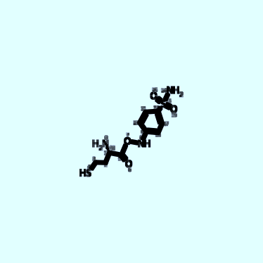 N[C@@H](CCS)C(=O)ONc1ccc(S(N)(=O)=O)cc1